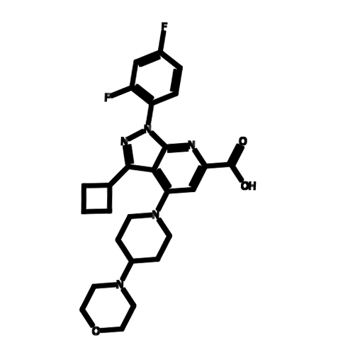 O=C(O)c1cc(N2CCC(N3CCOCC3)CC2)c2c(C3CCC3)nn(-c3ccc(F)cc3F)c2n1